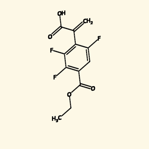 C=C(C(=O)O)c1c(F)cc(C(=O)OCC)c(F)c1F